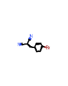 N#CC(C#N)=Cc1ccc(Br)cc1